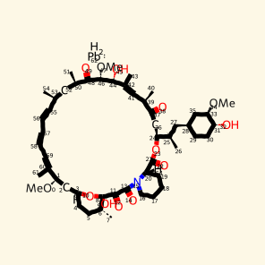 CO[C@H]1C[C@@H]2CC[C@@H](C)[C@@](O)(O2)C(=O)C(=O)N2CCCC[C@H]2C(=O)O[C@H]([C@H](C)C[C@@H]2CC[C@@H](O)[C@H](OC)C2)CC(=O)[C@H](C)/C=C(\C)[C@@H](O)[C@@H](OC)C(=O)[C@H](C)C[C@H](C)/C=C/C=C/C=C/1C.[PbH2]